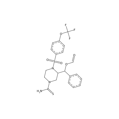 NC(=S)N1CCN(S(=O)(=O)c2ccc(OC(F)(F)F)cc2)C(C(OC=O)c2ccccc2)C1